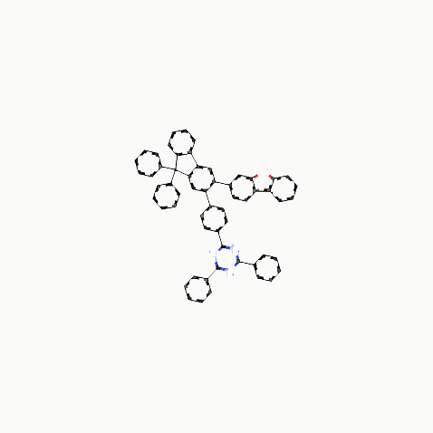 c1ccc(-c2nc(-c3ccccc3)nc(-c3ccc(-c4cc5c(cc4-c4ccc6c(c4)oc4ccccc46)-c4ccccc4C5(c4ccccc4)c4ccccc4)cc3)n2)cc1